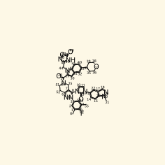 Cc1cc(-n2nc3c(c2-n2ccn(-c4ccc5c(cnn5C)c4)c2=O)CN(C(=O)c2cc4cc(C5CCOCC5)ccc4n2Cc2noc(=O)[nH]2)CC3)cc(C)c1F